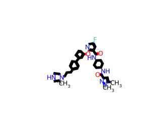 Cc1cc(C(=O)N[C@H]2CC[C@H](NC(=O)c3cc(F)cnc3Oc3cccc(-c4ccc(CCCN5CCNC[C@H]5C)cc4)c3)CC2)nn1C